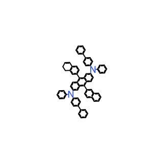 C1=Cc2ccc(-c3c4ccc(N(c5ccccc5)c5ccc(-c6ccccc6)cc5)cc4c(-c4ccc5ccccc5c4)c4ccc(N(c5ccccc5)c5ccc(-c6ccccc6)cc5)cc34)cc2CC1